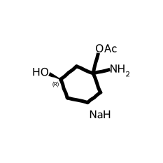 CC(=O)OC1(N)CCC[C@@H](O)C1.[NaH]